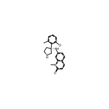 Cc1cccc(Cl)c1[C@]1(Nc2ccc3ccc(=O)n(C)c3c2)CCNC1